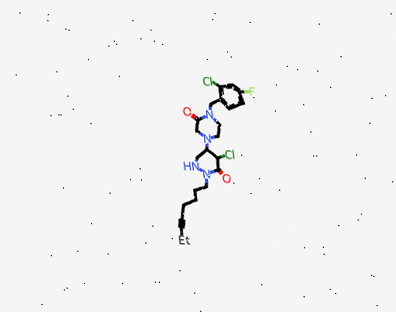 CCC#CCCCCN1NCC(N2CCN(Cc3ccc(F)cc3Cl)C(=O)C2)C(Cl)C1=O